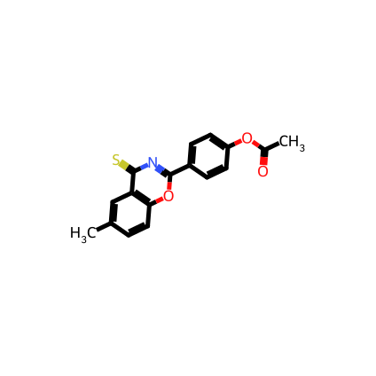 CC(=O)Oc1ccc(-c2nc(=S)c3cc(C)ccc3o2)cc1